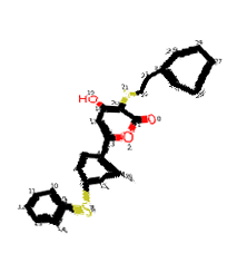 O=c1oc(-c2ccc(Sc3ccccc3)cc2)cc(O)c1SCCc1ccccc1